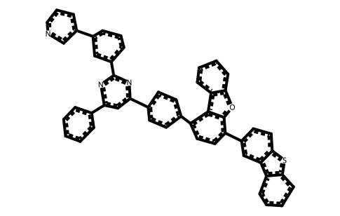 c1ccc(-c2cc(-c3ccc(-c4ccc(-c5ccc6sc7ccccc7c6c5)c5oc6ccccc6c45)cc3)nc(-c3cccc(-c4cccnc4)c3)n2)cc1